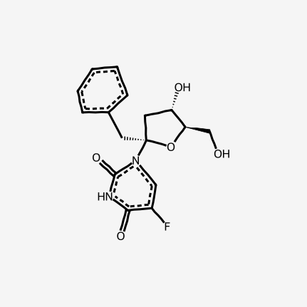 O=c1[nH]c(=O)n([C@@]2(Cc3ccccc3)C[C@H](O)[C@@H](CO)O2)cc1F